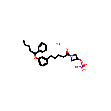 CCCCC(Oc1cccc(CCCCC(=O)N2CC(OP(=O)(O)O)C2)c1)c1ccccc1.N